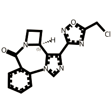 O=C1c2ccccc2-n2cnc(-c3noc(CCl)n3)c2[C@@H]2CCN12